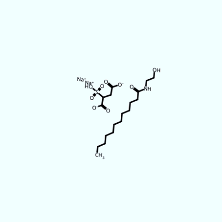 CCCCCCCCCCCC(=O)NCCO.O=C([O-])CC(C(=O)[O-])S(=O)(=O)O.[Na+].[Na+]